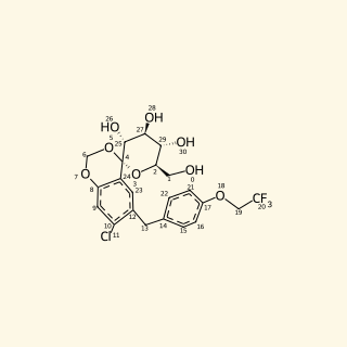 OC[C@H]1O[C@]2(OCOc3cc(Cl)c(Cc4ccc(OCC(F)(F)F)cc4)cc32)[C@H](O)[C@@H](O)[C@@H]1O